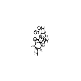 O=C(O)[C@@H]1CC[C@H]2OC3(CCNCC3)C(=O)N21